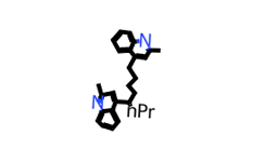 [CH2]CCC(CCCCc1cc(C)nc2ccccc12)c1cc(C)nc2ccccc12